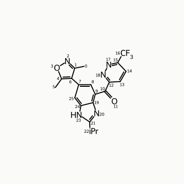 Cc1noc(C)c1-c1cc(C(=O)c2ccc(C(F)(F)F)nn2)c2nc(C(C)C)[nH]c2c1